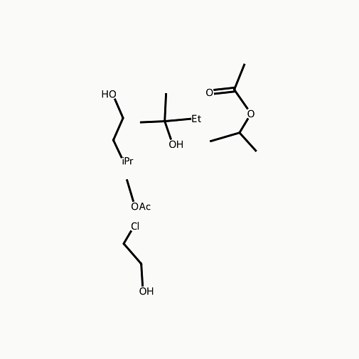 CC(=O)OC(C)C.CC(C)CCO.CCC(C)(C)O.COC(C)=O.OCCCl